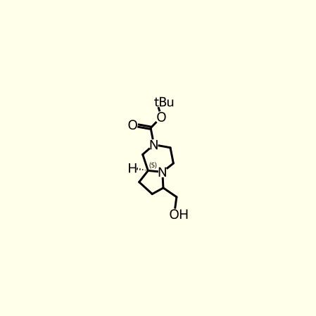 CC(C)(C)OC(=O)N1CCN2C(CO)CC[C@H]2C1